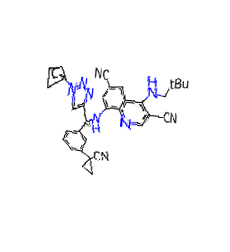 CC(C)(C)CNc1c(C#N)cnc2c(N[C@@H](c3cccc(C4(C#N)CC4)c3)c3cn(C45CC(C4)C5)nn3)cc(C#N)cc12